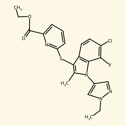 CCOC(=O)c1cccc(Sc2c(C)n(-c3cnn(CC)c3)c3c(F)c(Cl)ccc23)n1